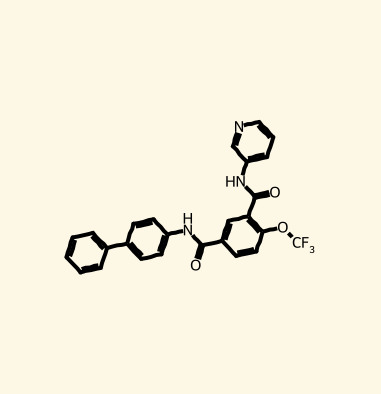 O=C(Nc1ccc(-c2ccccc2)cc1)c1ccc(OC(F)(F)F)c(C(=O)Nc2cccnc2)c1